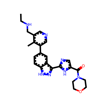 CCNCc1cncc(-c2ccc3[nH]nc(-c4ncc(C(=O)N5CCOCC5)[nH]4)c3c2)c1C